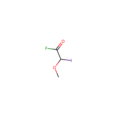 COC(I)C(=O)F